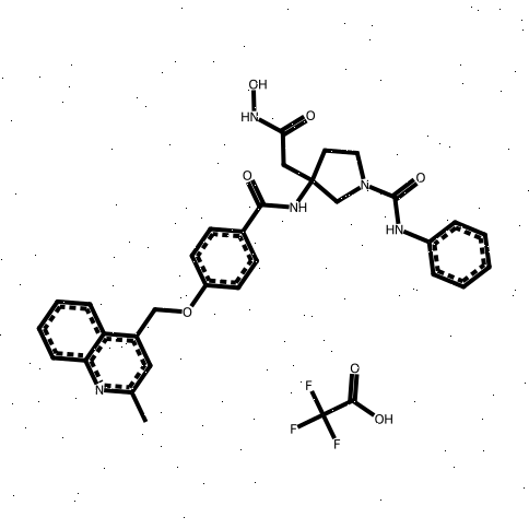 Cc1cc(COc2ccc(C(=O)NC3(CC(=O)NO)CCN(C(=O)Nc4ccccc4)C3)cc2)c2ccccc2n1.O=C(O)C(F)(F)F